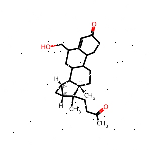 CC(=O)CCC1(C)[C@@H]2C[C@@H]2C2C3CC(CO)C4=CC(=O)CCC4C3CC[C@@]21C